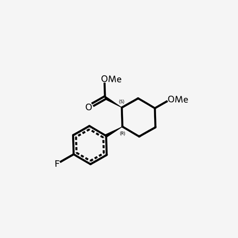 COC(=O)[C@H]1CC(OC)CC[C@H]1c1ccc(F)cc1